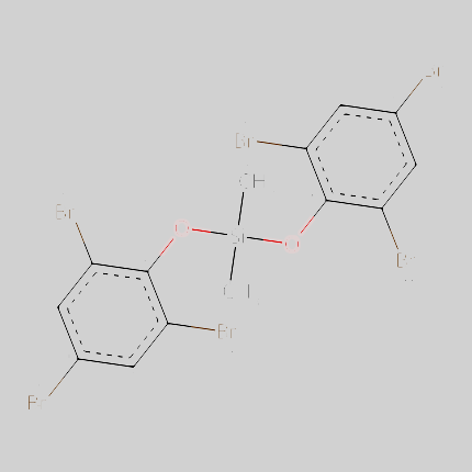 C[Si](C)(Oc1c(Br)cc(Br)cc1Br)Oc1c(Br)cc(Br)cc1Br